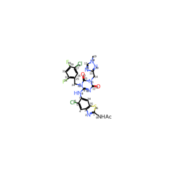 CC(=O)Nc1nc2cc(Cl)c(Nc3nc(=O)n(Cc4ncn(C)n4)c(=O)n3Cc3cc(Cl)c(F)cc3F)cc2s1